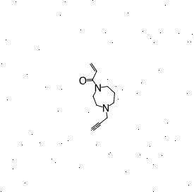 C#CCN1CCCN(C(=O)C=C)CC1